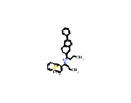 CC/C=C(/N=C(\CCC)C1=Cc2ccc(-c3ccccc3)cc2CC1)C1=CC=CS23(C)=C1C2C=CC=C3